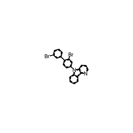 Brc1cccc(-c2ccc(-n3c4ccccc4c4ncccc43)cc2Br)c1